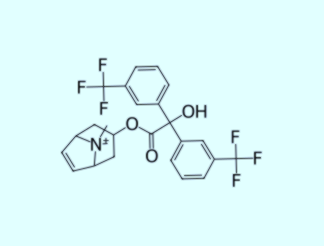 C[N+]1(C)C2C=CC1CC(OC(=O)C(O)(c1cccc(C(F)(F)F)c1)c1cccc(C(F)(F)F)c1)C2